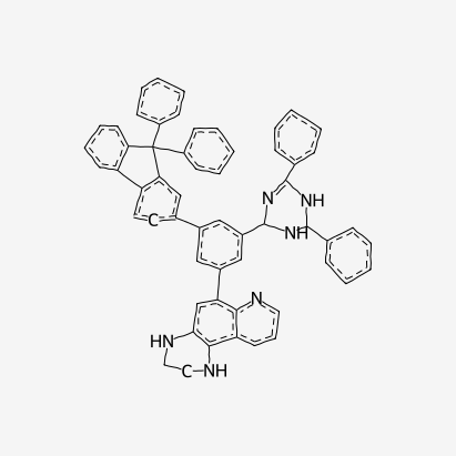 c1ccc(C2=NC(c3cc(-c4ccc5c(c4)C(c4ccccc4)(c4ccccc4)c4ccccc4-5)cc(-c4cc5c(c6cccnc46)NCCN5)c3)NC(c3ccccc3)N2)cc1